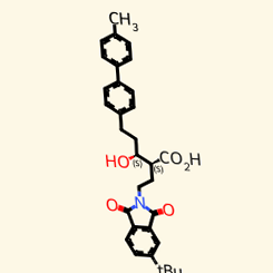 Cc1ccc(-c2ccc(CC[C@H](O)[C@H](CCN3C(=O)c4ccc(C(C)(C)C)cc4C3=O)C(=O)O)cc2)cc1